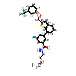 COCCNC(=O)c1cc(F)cc(-c2cccc3cc(COc4cccc(C(F)(F)F)c4)sc23)c1